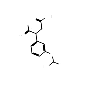 CC(C)Oc1cccc(C(CC(=O)O)C(=O)O)c1